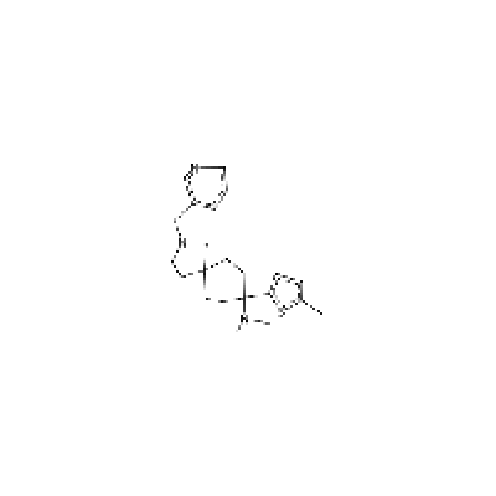 Cc1ccc(C2(N(C)C)CCC3(CCN(Cc4cccnc4)C3)CC2)s1